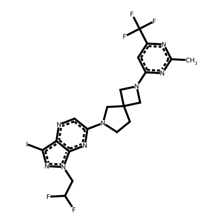 Cc1nc(N2CC3(CCN(c4cnc5c(I)nn(CC(F)F)c5n4)C3)C2)cc(C(F)(F)F)n1